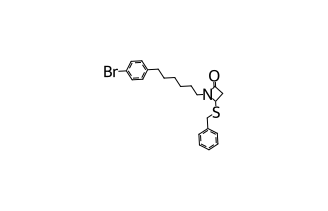 O=C1CC(SCc2ccccc2)N1CCCCCCc1ccc(Br)cc1